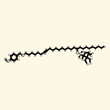 CCCCCCCCCC(CCCCCCCCCC#CCCCCCCOCc1ccc(OC)cc1)O[Si](C)(C)C(C)(CCC)C(CC)(CC)CC